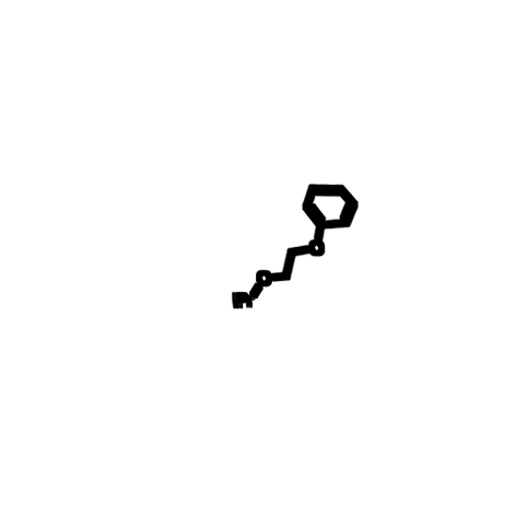 CC(C)OCCOc1ccccc1